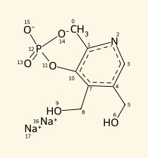 Cc1ncc(CO)c(CO)c1OP(=O)([O-])[O-].[Na+].[Na+]